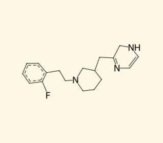 Fc1ccccc1CCN1CCCC(CC2=NC=CNC2)C1